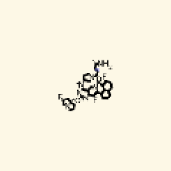 C[C@H](N)/C=C/C(=O)N1CC[C@@H](N(C)c2nc(OC[C@@]34CCCN3C[C@H](F)C4)nc3c(F)c(-c4cccc5ccc(F)c(F)c45)ncc23)C1